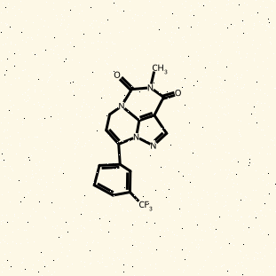 Cn1c(=O)c2cnn3c2n(c1=O)CC=C3c1cccc(C(F)(F)F)c1